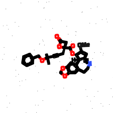 COC1=C[C@]23CCCN2CCc2cc4c(cc2[C@@H]3[C@@H]1OC(=O)[C@@]1(CC#CC(C)(C)OCc2ccccc2)CC(=O)O1)OCO4